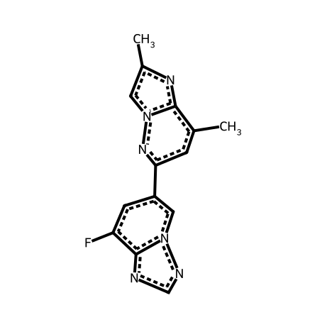 Cc1cn2nc(-c3cc(F)c4ncnn4c3)cc(C)c2n1